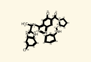 CC(Nc1ncnc2cc(C(=O)N3CCC[C@@H]3CNc3ccccc3)c(Cl)cc12)c1nc2cc(Cl)ccc2[nH]1